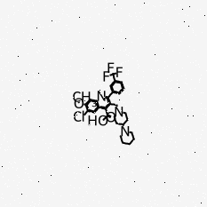 COc1cc2nc(-c3cccc(C(F)(F)F)c3)c(CN3CCC(N4CCCCC4)CC3)c(C(=O)O)c2cc1Cl